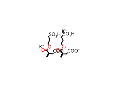 C=C(CC(=O)[O-])C(=O)OCCCS(=O)(=O)O.C=C(CC(=O)[O-])C(=O)OCCCS(=O)(=O)O.[K+].[K+]